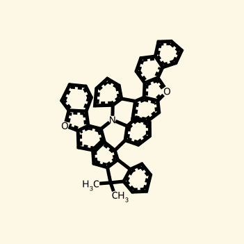 CC1(C)c2ccccc2-c2c(-c3ccccc3N(c3ccccc3-c3cccc4oc5c6ccccc6ccc5c34)c3cccc4oc5ccccc5c34)cccc21